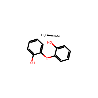 COC.Oc1ccccc1Oc1ccccc1O